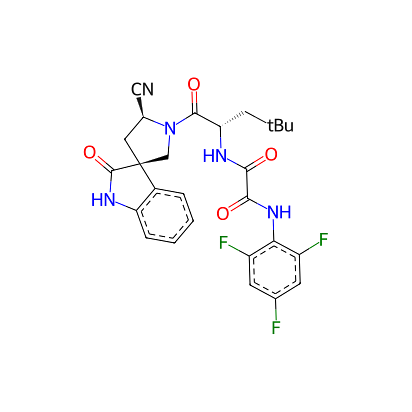 CC(C)(C)C[C@H](NC(=O)C(=O)Nc1c(F)cc(F)cc1F)C(=O)N1C[C@]2(C[C@H]1C#N)C(=O)Nc1ccccc12